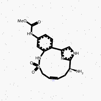 COC(=O)Nc1ccc2c(c1)NS(=O)(=O)C/C=C\C[C@H](N)c1nc-2c[nH]1